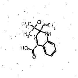 CCC1(C(C)(C)C)N=C(C(=O)O)c2ccccc2N1